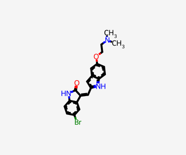 CN(C)CCOc1ccc2[nH]c(C=C3C(=O)Nc4ccc(Br)cc43)cc2c1